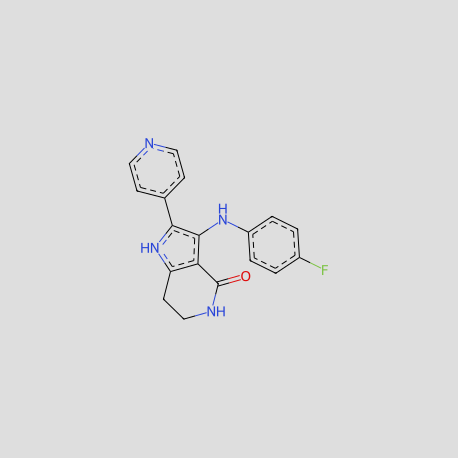 O=C1NCCc2[nH]c(-c3ccncc3)c(Nc3ccc(F)cc3)c21